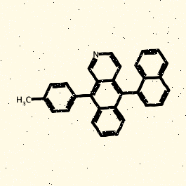 Cc1ccc(-c2c3ccccc3c(-c3cccc4ccccc34)c3ccncc23)cc1